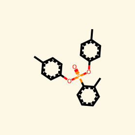 Cc1ccc(OP(=O)(Oc2ccc(C)cc2)c2ccccc2C)cc1